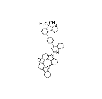 CC1(C)c2ccccc2-c2c(-c3ccc(-c4nc(-n5c6ccc7oc8ccc9c%10ccccc%10n%10c%11cccc5c%11c6c7c8c9%10)nc5ccccc45)cc3)cccc21